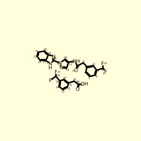 O=C(Cc1cccc(C(F)F)c1)Nc1cnn(-c2nc3ccccc3[nH]2)c1.O=C(O)Cc1cccc(C(F)F)c1